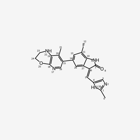 Cc1ncc(C=C2C(=O)Nc3c(F)cc(-c4cnc5c(c4C)NCCO5)cc32)[nH]1